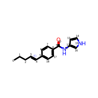 CCC/C=C/c1ccc(C(=O)Nc2cc[nH]c2)cc1